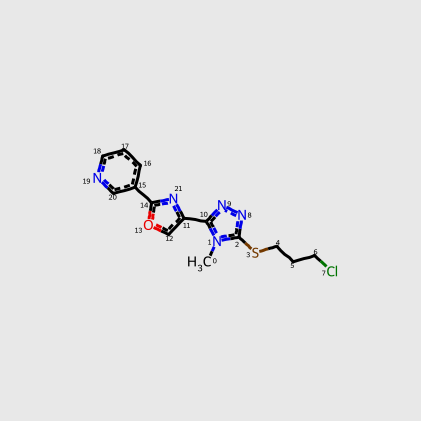 Cn1c(SCCCCl)nnc1-c1coc(-c2cccnc2)n1